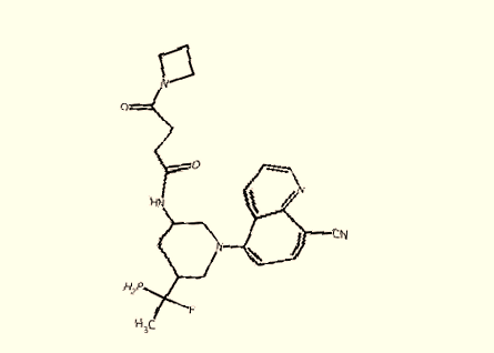 CC(F)(P)C1CC(NC(=O)CCC(=O)N2CCC2)CN(c2ccc(C#N)c3ncccc23)C1